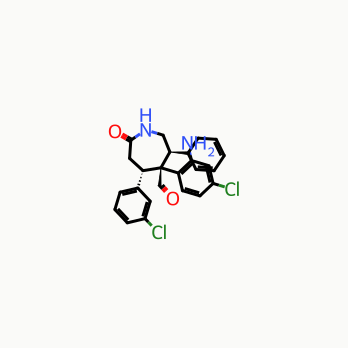 Nc1cc(Cl)ccc1[C@]1(C=O)[C@H](c2cccc(Cl)c2)CC(=O)NC[C@H]1C1C=CC=CC1